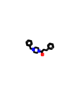 O=C(CCc1ccccc1)N1CCN(Cc2ccccc2)CC1